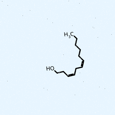 CCCCC/C=C\C/C=C\CCO